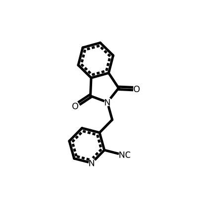 [C-]#[N+]c1ncccc1CN1C(=O)c2ccccc2C1=O